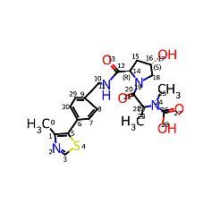 Cc1ncsc1-c1ccc(CNC(=O)[C@H]2C[C@H](O)CN2C(=O)[C@H](C)N(C)C(=O)O)cc1